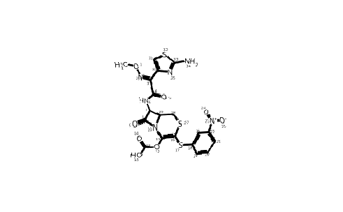 CON=C(C(=O)NC1C(=O)N2C(OC(=O)O)=C(Sc3cccc([N+](=O)[O-])c3)SCC12)c1csc(N)n1